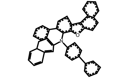 C1=CC2=CC(N(c3ccc(-c4ccccc4)cc3)c3c(-c4ccccc4)ccc4c3oc3ccc5ccccc5c34)=CCC2C=C1